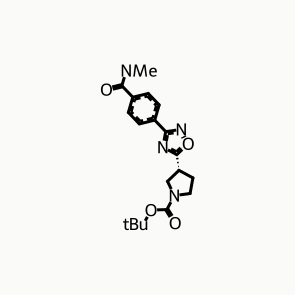 CNC(=O)c1ccc(-c2noc([C@@H]3CCN(C(=O)OC(C)(C)C)C3)n2)cc1